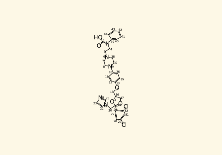 O=C(O)N(CCN1CCN(c2ccc(OCC3COC(Cn4ccnc4)(c4ccc(Cl)cc4Cl)O3)cc2)CC1)c1ccccc1